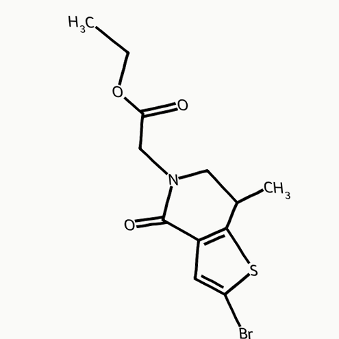 CCOC(=O)CN1CC(C)c2sc(Br)cc2C1=O